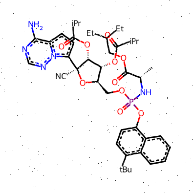 CCC(CC)COC(=O)[C@H](C)NP(=O)(OC[C@H]1O[C@@](C#N)(c2ccc3c(N)ncnn23)[C@H](OC(=O)C(C)C)[C@@H]1OC(=O)C(C)C)Oc1ccc(C(C)(C)C)c2ccccc12